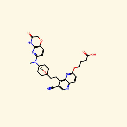 CN(c1ccc2c(n1)NC(=O)CO2)C12CCC(CCc3c(C#N)cnc4ccc(OCCCC(=O)O)nc34)(CC1)OC2